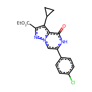 CCOC(=O)c1nn2cc(-c3ccc(Cl)cc3)[nH]c(=O)c2c1C1CC1